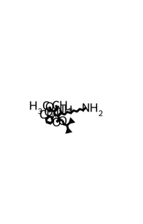 COC(=O)C1=C(C)NC(CCCCCCCN)=C(C(=O)OCC(C2CC2)C2CC2)[C@@H]1c1ccccc1Cl